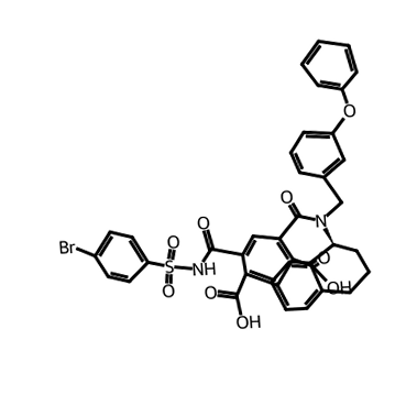 O=C(O)c1cc(C(=O)O)c(C(=O)N(Cc2cccc(Oc3ccccc3)c2)[C@H]2CCCc3ccccc32)cc1C(=O)NS(=O)(=O)c1ccc(Br)cc1